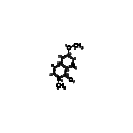 COc1cnc2c(=O)n(C)ccc2c1